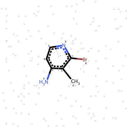 Cc1c(N)ccnc1Br